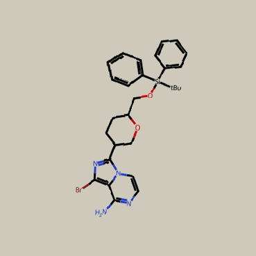 CC(C)(C)[Si](OCC1CCC(c2nc(Br)c3c(N)nccn23)CO1)(c1ccccc1)c1ccccc1